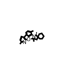 Cc1ccc2c(n1)oc1c(N3[C@@H](C)C4(CCCCC4)CC3(C)C)c(C)ccc12